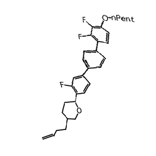 C=CCCC1CCC(c2ccc(-c3ccc(-c4ccc(OCCCCC)c(F)c4F)cc3)cc2F)OC1